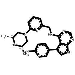 CNc1ccc(-c2c[nH]c3ncnc(NCc4cccc(N5C[C@@H](C)N[C@@H](C)C5)n4)c23)cn1